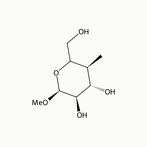 CO[C@H]1OC(CO)[C@@H](C)[C@H](O)[C@H]1O